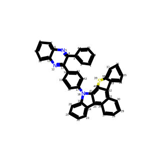 c1ccc(-c2nc3ccccc3nc2-c2ccc(-n3c4ccccc4c4c5ccccc5c5c6ccccc6sc5c43)cc2)cc1